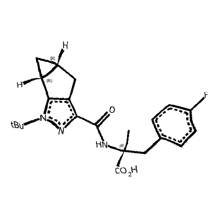 CC(C)(C)n1nc(C(=O)N[C@](C)(Cc2ccc(F)cc2)C(=O)O)c2c1[C@@H]1C[C@@H]1C2